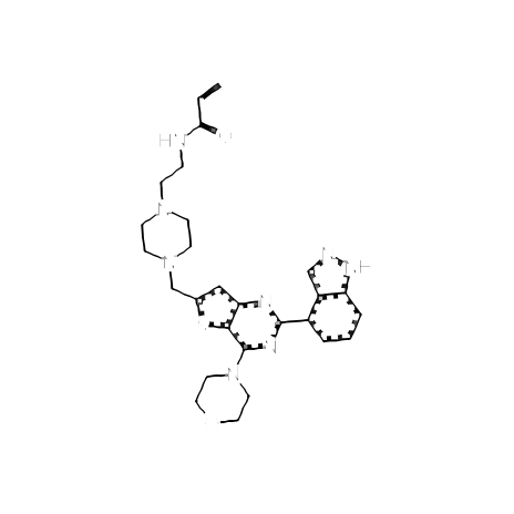 C=CC(=O)NCCN1CCN(Cc2cc3nc(-c4cccc5[nH]ncc45)nc(N4CCOCC4)c3s2)CC1